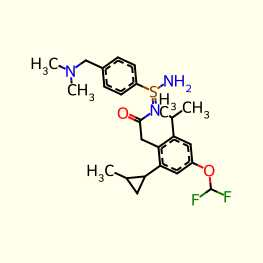 CC(C)c1cc(OC(F)F)cc(C2CC2C)c1CC(=O)/N=S(/N)c1ccc(CN(C)C)cc1